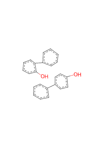 Oc1ccc(-c2ccccc2)cc1.Oc1ccccc1-c1ccccc1